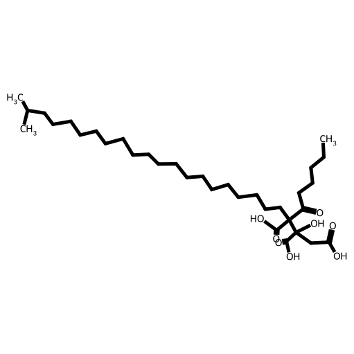 CCCCCC(=O)C(CCCCCCCCCCCCCCCCCCCC(C)C)(C(=O)O)C(O)(CC(=O)O)C(=O)O